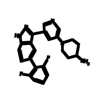 NC1CCN(c2cncc(-c3n[nH]c4ccc(-c5c(F)cccc5F)cc34)c2)CC1